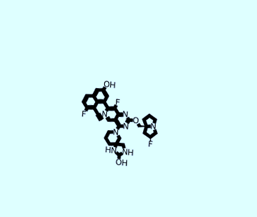 C#Cc1c(F)ccc2cc(O)cc(-c3ncc4c(N5CCCC6(CNC(O)N6)C5)nc(OC[C@@]56CCCN5C[C@H](F)C6)nc4c3F)c12